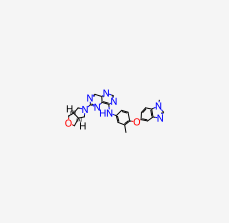 Cc1cc(Nc2ncnc3cnc(N4C[C@H]5COC[C@H]5C4)nc23)ccc1Oc1ccc2c(c1)ncn2C